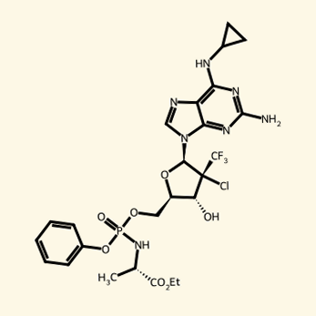 CCOC(=O)[C@H](C)NP(=O)(OC[C@H]1O[C@@H](n2cnc3c(NC4CC4)nc(N)nc32)[C@@](Cl)(C(F)(F)F)[C@@H]1O)Oc1ccccc1